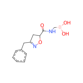 O=C(NCB(O)O)C1CC(Cc2ccccc2)=NO1